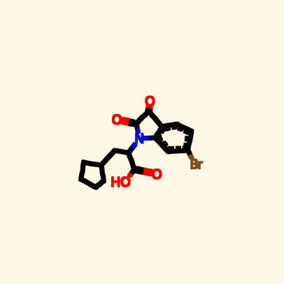 O=C1C(=O)N(C(CC2CCCC2)C(=O)O)c2cc(Br)ccc21